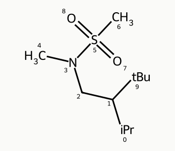 CC(C)C(CN(C)S(C)(=O)=O)C(C)(C)C